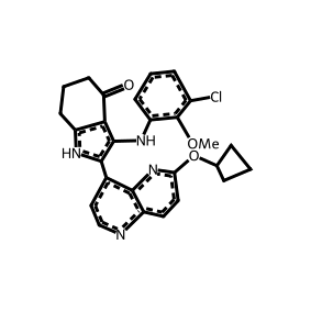 COc1c(Cl)cccc1Nc1c(-c2ccnc3ccc(OC4CCC4)nc23)[nH]c2c1C(=O)CCC2